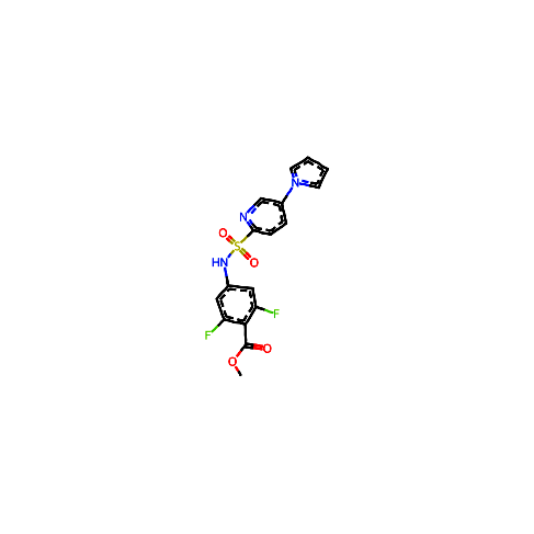 COC(=O)c1c(F)cc(NS(=O)(=O)c2ccc(-n3cccc3)cn2)cc1F